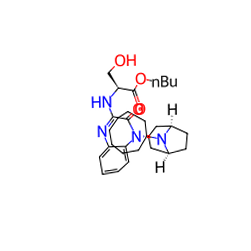 CCCCOC(=O)[C@H](CO)Nc1nc2ccccc2n([C@@H]2C[C@H]3CC[C@@H](C2)N3C2CCCCCCC2)c1=O